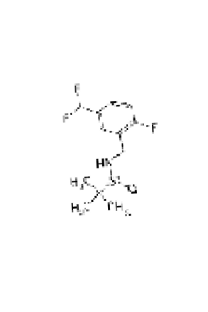 CC(C)(C)[S+]([O-])NCc1cc(C(F)F)ccc1F